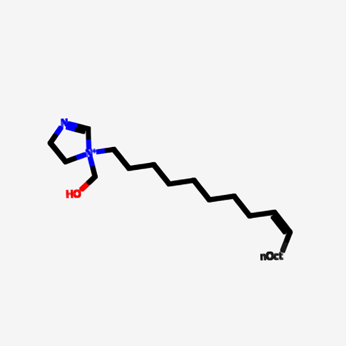 CCCCCCCC/C=C\CCCCCCCC[N+]1(CO)C=NCC1